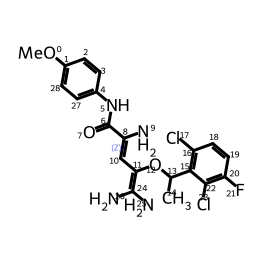 COc1ccc(NC(=O)/C(N)=C/C(OC(C)c2c(Cl)ccc(F)c2Cl)=C(N)N)cc1